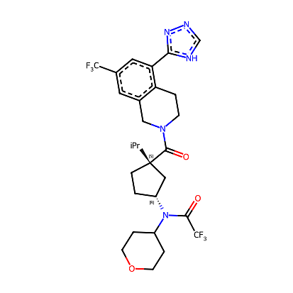 CC(C)[C@]1(C(=O)N2CCc3c(cc(C(F)(F)F)cc3-c3nnc[nH]3)C2)CC[C@@H](N(C(=O)C(F)(F)F)C2CCOCC2)C1